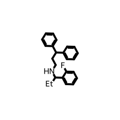 CCC(NCCC(c1ccccc1)c1ccccc1)c1ccccc1F